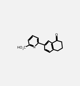 O=C(O)c1cccc(-c2ccc3c(c2)C(=O)CCC3)n1